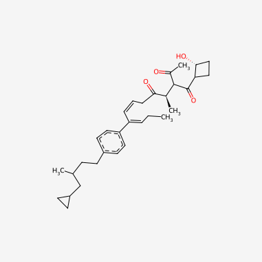 CC/C=C(\C=C/CC(=O)[C@H](C)C(C(C)=O)C(=O)C1CC[C@H]1O)c1ccc(CCC(C)CC2CC2)cc1